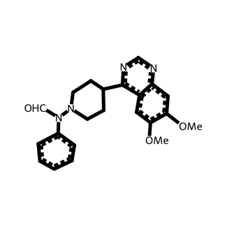 COc1cc2ncnc(C3CCN(N(C=O)c4ccccc4)CC3)c2cc1OC